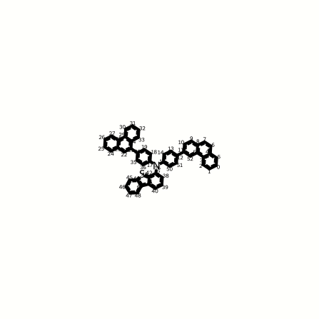 c1ccc2c(c1)ccc1ccc(-c3ccc(N(c4ccc(-c5cc6ccccc6c6ccccc56)cc4)c4cccc5c4sc4ccccc45)cc3)cc12